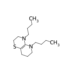 CCCCN1CCCC2=C1N(CCCC)CCS2